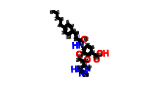 CCCCCc1ccc(/C=C/C(=O)Nc2ccc(C(=O)O)c3c2OCC(c2nnn[nH]2)O3)cc1